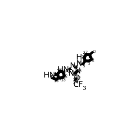 Cc1ccc(CNc2nc(Nc3ccc4cc[nH]c4c3)nc(OCC(F)(F)F)n2)cc1